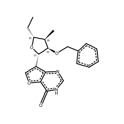 CC[C@H]1O[C@@H](c2coc3c(=O)[nH]cnc23)[C@H](OCc2ccccc2)[C@@H]1C